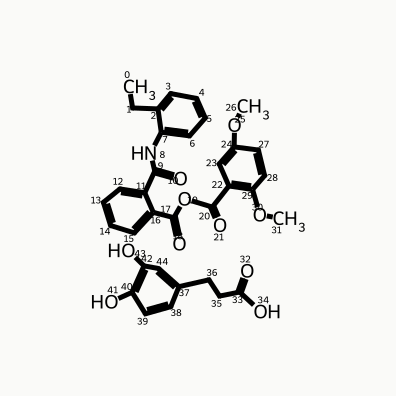 CCc1ccccc1NC(=O)c1ccccc1C(=O)OC(=O)c1cc(OC)ccc1OC.O=C(O)CCc1ccc(O)c(O)c1